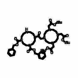 CC(C)(C)OC(=O)CN1CCN(CC(=O)OC(C)(C)C)CCN(CC(=O)N2CCNCCN(C(=O)OCc3ccccc3)CCN(C(=O)OCc3ccccc3)CC2)CCN(CC(=O)OC(C)(C)C)CC1